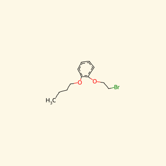 CCCCOc1ccccc1OCCBr